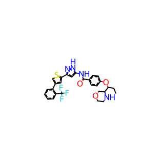 CCC(Oc1ccc(C(=O)Nc2cc(-c3cc(-c4ccccc4C(F)(F)F)cs3)n[nH]2)cc1)C1COCCN1